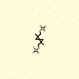 CC1(COS(=O)(=O)F)CC12CC2(C)COS(=O)(=O)F